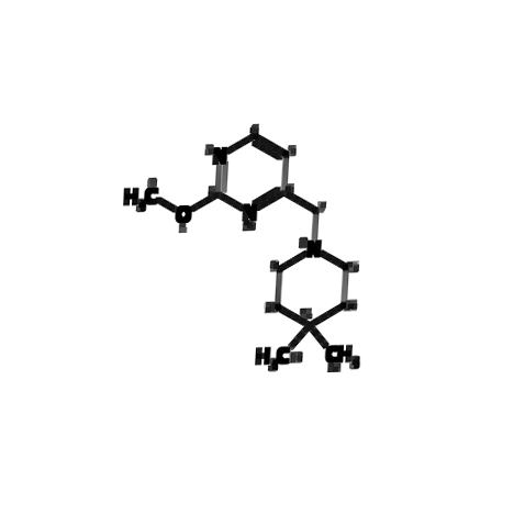 COc1nccc(CN2CCC(C)(C)CC2)n1